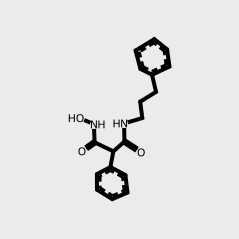 O=C(NO)C(C(=O)NCCCc1ccccc1)c1ccccc1